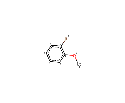 CCOc1c[c]ccc1Br